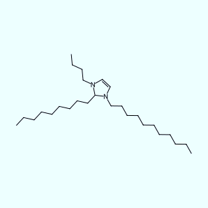 CCCCCCCCCCCN1C=CN(CCCC)C1CCCCCCCCC